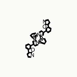 C1=CB2N(C=C1)B1C=C(c3cccc4c3oc3ncccc34)C=CN1B1C=CC=CN1B1C=C(c3cccc4c3oc3ncccc34)C=CN21